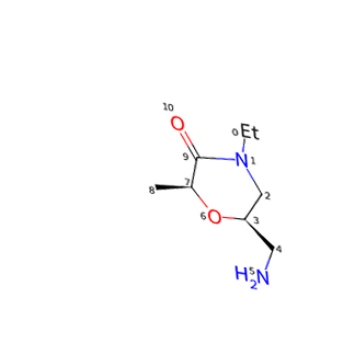 CCN1C[C@@H](CN)O[C@@H](C)C1=O